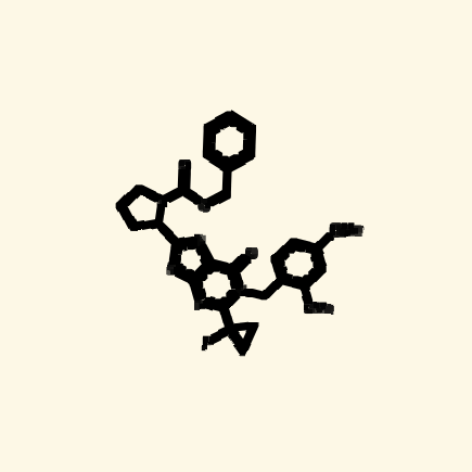 COc1ccc(Cn2c(C3(F)CC3)nc3sc(C4CCCN4C(=O)OCc4ccccc4)nc3c2=O)c(OC)c1